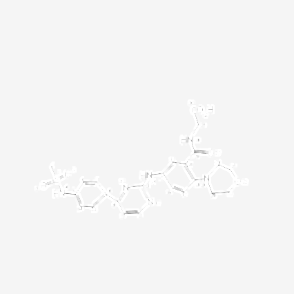 CS(=O)(=O)Nc1ccc(-c2ccnc(Nc3ccc(N4CCOCC4)c(C(=O)NCC(=O)O)c3)n2)cc1